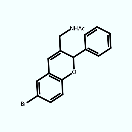 CC(=O)NCC1=Cc2cc(Br)ccc2OC1c1ccccc1